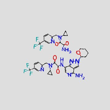 NC(=O)C(=O)N(Cc1ccc(C(F)(F)F)cn1)C1CC1.Nc1ncc(NC(=O)C(=O)N(Cc2ccc(C(F)(F)F)cn2)C2CC2)c2nn(C3CCCCO3)cc12